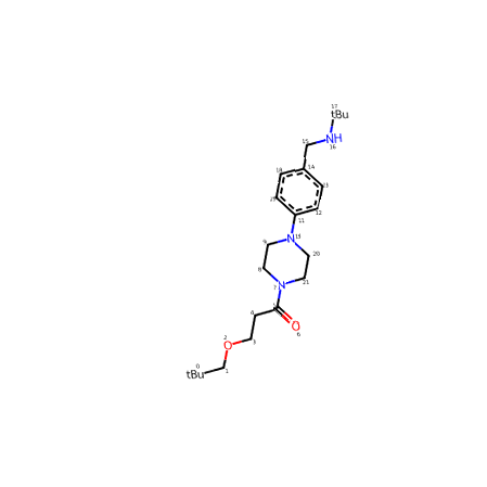 CC(C)(C)COCCC(=O)N1CCN(c2ccc(CNC(C)(C)C)cc2)CC1